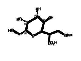 CCCCCCCCCCC(C(=O)O)C1O[C@H](CO)[C@H](O)[C@H](O)[C@H]1O